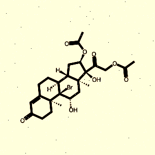 CC(=O)OCC(=O)[C@@]1(O)[C@H](OC(C)=O)C[C@H]2[C@@H]3CCC4=CC(=O)CC[C@]4(C)[C@@]3(Br)[C@@H](O)C[C@@]21C